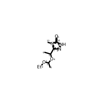 CCOC(C)OC(C)c1n[nH]c(=O)n1C